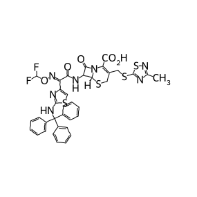 Cc1nsc(SCC2=C(C(=O)O)N3C(=O)C(NC(=O)/C(=N/OC(F)F)c4csc(NC(c5ccccc5)(c5ccccc5)c5ccccc5)n4)[C@H]3SC2)n1